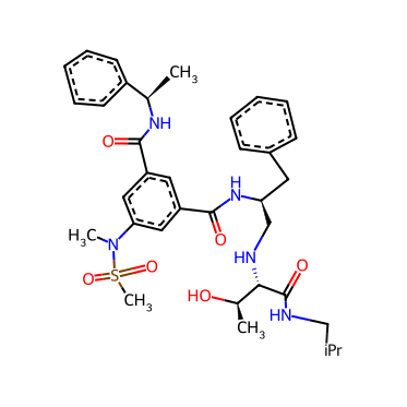 CC(C)CNC(=O)[C@@H](NC[C@H](Cc1ccccc1)NC(=O)c1cc(C(=O)N[C@H](C)c2ccccc2)cc(N(C)S(C)(=O)=O)c1)[C@@H](C)O